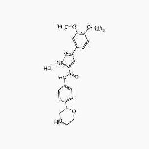 COc1ccc(-c2cc(C(=O)Nc3ccc(C4CNCCO4)cc3)[nH]n2)cc1OC.Cl